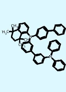 CC1(C)CCC(C)(C)c2c(N(c3ccc(-c4ccccc4)cc3)c3cccc(-c4cccc(N(c5ccccc5)c5ccccc5)c4)c3)cccc21